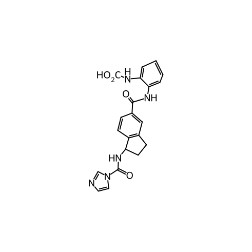 O=C(O)Nc1ccccc1NC(=O)c1ccc2c(c1)CCC2NC(=O)n1ccnc1